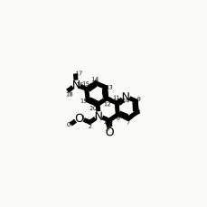 COCn1c(=O)c2cccnc2c2ccc(N(C)C)cc21